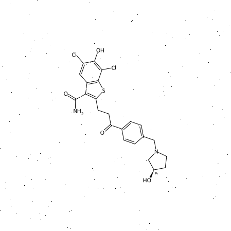 NC(=O)c1c(CCC(=O)c2ccc(CN3CC[C@@H](O)C3)cc2)sc2c(Cl)c(O)c(Cl)cc12